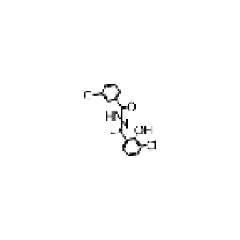 C/C(=N\NC(=O)c1cccc(Cl)c1)c1cccc(Cl)c1O